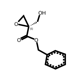 O=C(OCc1ccccc1)[C@]1(CO)CO1